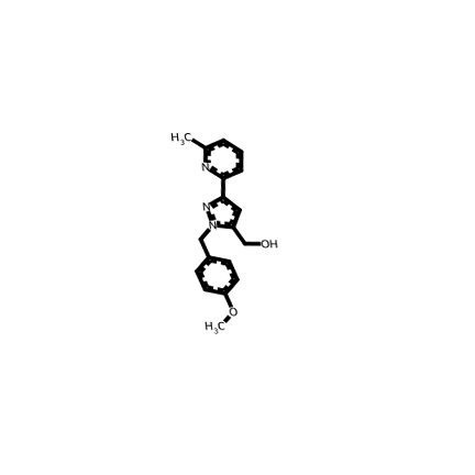 COc1ccc(Cn2nc(-c3cccc(C)n3)cc2CO)cc1